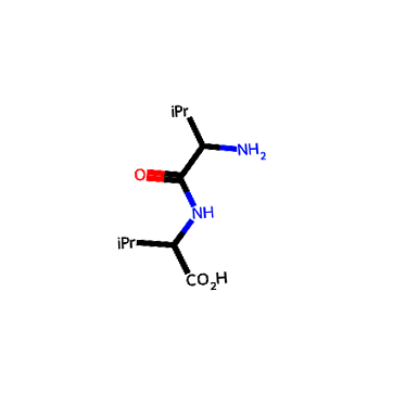 CC(C)C(N)C(=O)NC(C(=O)O)C(C)C